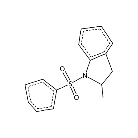 CC1Cc2ccccc2N1S(=O)(=O)c1ccccc1